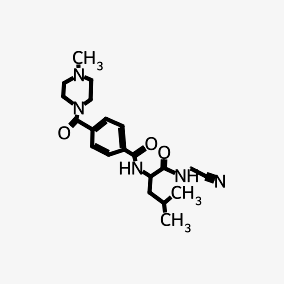 CC(C)CC(NC(=O)c1ccc(C(=O)N2CCN(C)CC2)cc1)C(=O)NCC#N